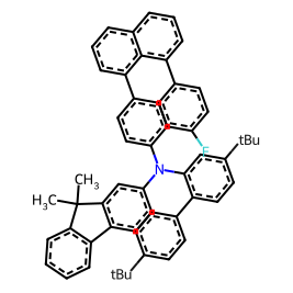 CC(C)(C)c1ccc(-c2ccc(C(C)(C)C)cc2N(c2ccc(-c3cccc4cccc(-c5ccc(F)cc5)c34)cc2)c2ccc3c(c2)C(C)(C)c2ccccc2-3)cc1